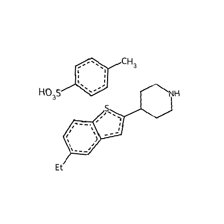 CCc1ccc2sc(C3CCNCC3)cc2c1.Cc1ccc(S(=O)(=O)O)cc1